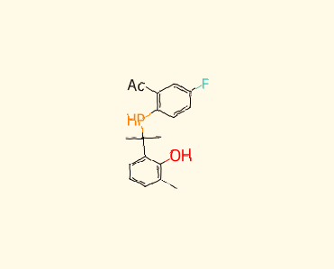 CC(=O)c1cc(F)ccc1PC(C)(C)c1cccc(C)c1O